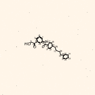 O=C(CO)c1cccc(NC(=O)c2ccc(CCCCc3ccccc3)cc2)c1